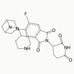 O=C1CCC(N2C(=O)c3cc(F)c(N4CC5CC(C4)N5CC4CCNCC4)cc3C2=O)C(=O)N1